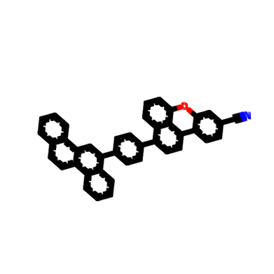 N#Cc1ccc2c(c1)Oc1cccc3c(-c4ccc(-c5cc6c7ccccc7ccc6c6ccccc56)cc4)ccc-2c13